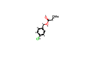 COCC(=O)OCc1ccc(Cl)cc1